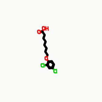 O=C(O)CCCCCCCOc1ccc(Cl)cc1Cl